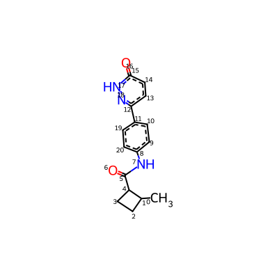 CC1CCC1C(=O)Nc1ccc(-c2ccc(=O)[nH]n2)cc1